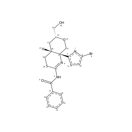 O=C(NC1=N[C@@]2(c3nc(Br)cs3)CO[C@@H](CO)C[C@H]2CS1)c1ccccc1